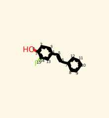 Oc1ccc(/C=C/c2ccccc2)cc1F